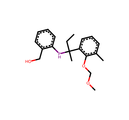 CCC(C)(Pc1ccccc1CO)c1cccc(C)c1OCOC